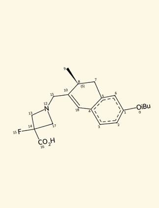 CC(C)COc1ccc2c(c1)C[C@H](C)C(CN1CC(F)(C(=O)O)C1)=C2